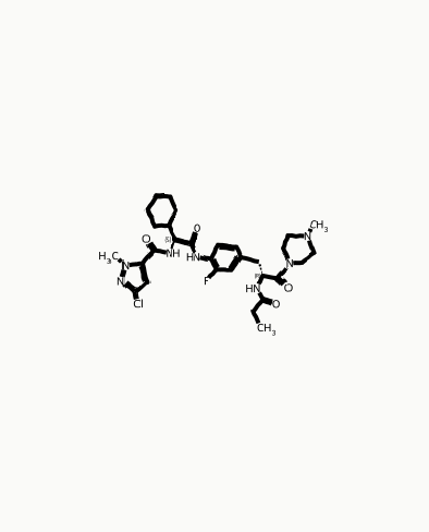 CCC(=O)N[C@H](Cc1ccc(NC(=O)[C@@H](NC(=O)c2cc(Cl)nn2C)C2CCCCC2)c(F)c1)C(=O)N1CCN(C)CC1